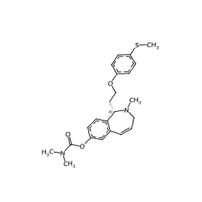 CSc1ccc(OCC[C@H]2c3ccc(OC(=O)N(C)C)cc3C=CCN2C)cc1